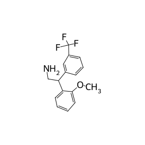 COc1ccccc1C(CN)c1cccc(C(F)(F)F)c1